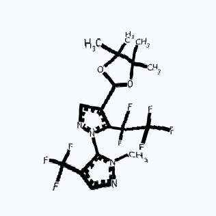 Cn1ncc(C(F)(F)F)c1-n1ncc(C2OC(C)(C)C(C)(C)O2)c1C(F)(F)C(F)(F)F